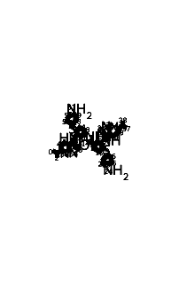 CC(C)c1ccc2c(Nc3cc(NC(=O)c4ccc(Sc5ccc(N)cc5)c(Nc5ncnc6nc(C(C)C)ccc56)c4)ccc3Sc3ccc(N)cc3)ncnc2n1